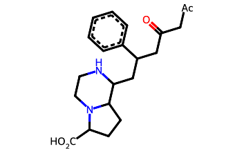 CC(=O)CC(=O)CC(CC1NCCN2C(C(=O)O)CCC12)c1ccccc1